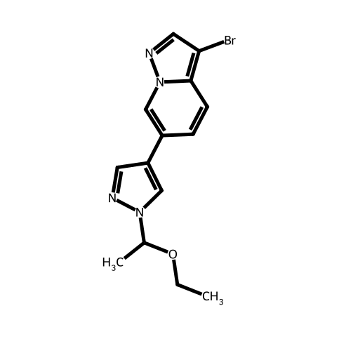 CCOC(C)n1cc(-c2ccc3c(Br)cnn3c2)cn1